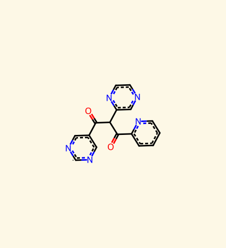 O=C(c1cn[c]nc1)C(C(=O)c1ccccn1)c1cnccn1